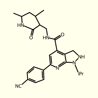 CC1CC(C)C(CNC(=O)c2cc(-c3ccc(C#N)cc3)nc3c2CNN3C(C)C)C(=O)N1